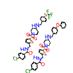 O=C(NCc1ccc(S(=O)(=O)N2CCC(NCc3ccc(Oc4ccccc4)cc3)CC2)s1)c1ccc(Cl)cc1.O=C(NCc1ccc(S(=O)(=O)N2CCC(NCc3ccc(SC(F)(F)F)cc3)CC2)s1)c1ccc(Cl)cc1